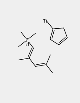 CC(C)=CC(C)=C[PH](C)(C)C.[Ti][C]1=CC=CC1